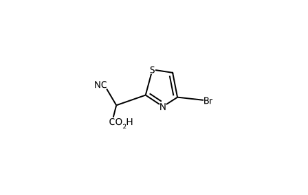 N#CC(C(=O)O)c1nc(Br)cs1